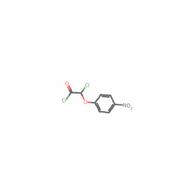 O=C(Cl)C(Cl)Oc1ccc([N+](=O)[O-])cc1